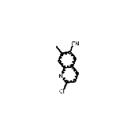 Cc1cc2nc(Cl)ccc2cc1C#N